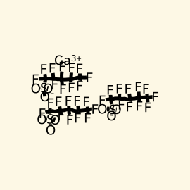 O=S(=O)([O-])C(F)(F)C(F)(F)C(F)(F)C(F)(F)C(F)(F)F.O=S(=O)([O-])C(F)(F)C(F)(F)C(F)(F)C(F)(F)C(F)(F)F.O=S(=O)([O-])C(F)(F)C(F)(F)C(F)(F)C(F)(F)C(F)(F)F.[Ga+3]